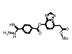 CC(C)(C)OC(=O)Cc1ccc(OC(=O)c2ccc(C(=N)NN)cc2)c2ncnn12